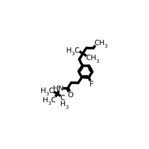 CCCC(C)(C)Cc1ccc(F)c(CCC(=O)NC(C)(C)C)c1